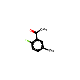 CNc1ccc(F)c(C(=O)OC)c1